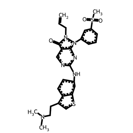 C=CCn1c(=O)c2cnc(Nc3ccc4c(CCN(C)C)csc4c3)nc2n1-c1cccc(S(C)(=O)=O)c1